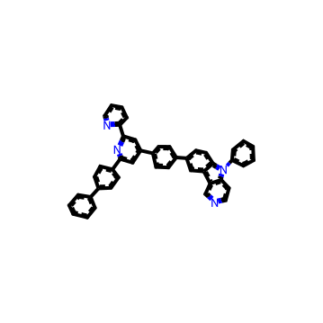 c1ccc(-c2ccc(-c3cc(-c4ccc(-c5ccc6c(c5)c5cnccc5n6-c5ccccc5)cc4)cc(-c4ccccn4)n3)cc2)cc1